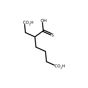 O=C(O)CCCC(CC(=O)O)C(O)=S